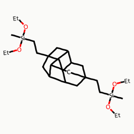 CCO[Si](C)(CCC12CC3C4CC5(CC[Si](C)(OCC)OCC)CC3C(C1)C(C5)C4C2)OCC